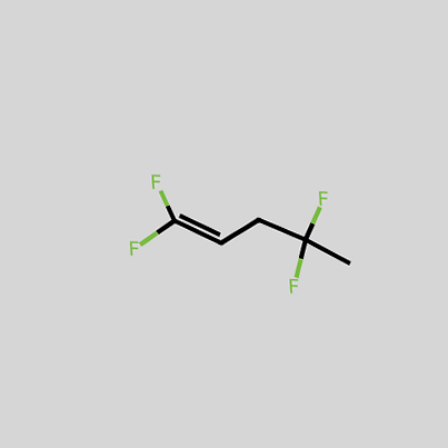 CC(F)(F)CC=C(F)F